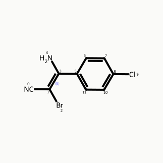 N#C/C(Br)=C(\N)c1ccc(Cl)cc1